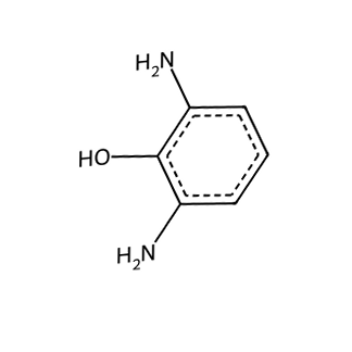 Nc1cccc(N)c1O